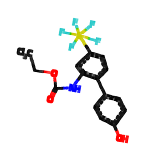 O=C(Nc1cc(S(F)(F)(F)(F)F)ccc1-c1ccc(O)cc1)OCC(Cl)(Cl)Cl